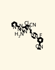 N#Cc1c(Cl)c2c(nc(N)n3nc(-c4ccccn4)nc23)n1CCN1CCN(c2cc(-c3ncco3)ccc2F)CC1